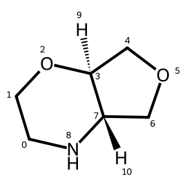 C1CO[C@H]2COC[C@@H]2N1